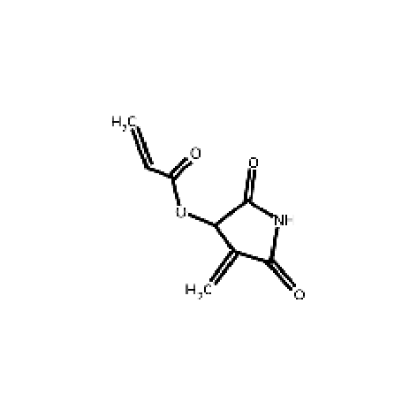 C=CC(=O)OC1C(=C)C(=O)NC1=O